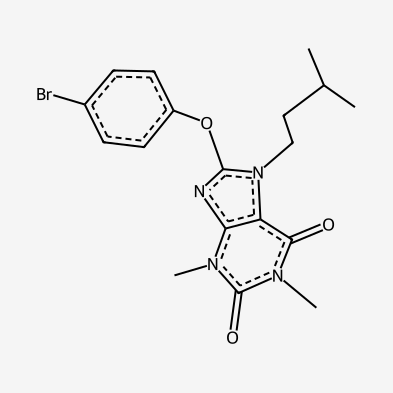 CC(C)CCn1c(Oc2ccc(Br)cc2)nc2c1c(=O)n(C)c(=O)n2C